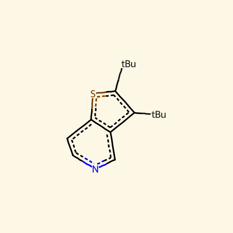 CC(C)(C)c1sc2ccncc2c1C(C)(C)C